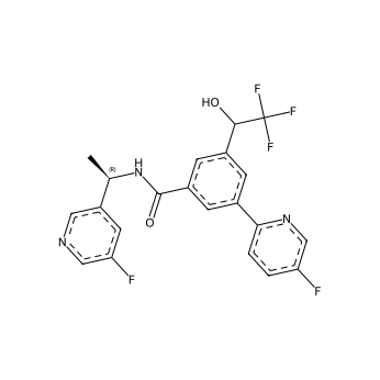 C[C@@H](NC(=O)c1cc(-c2ccc(F)cn2)cc(C(O)C(F)(F)F)c1)c1cncc(F)c1